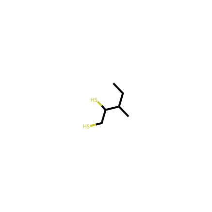 CCC(C)C(S)CS